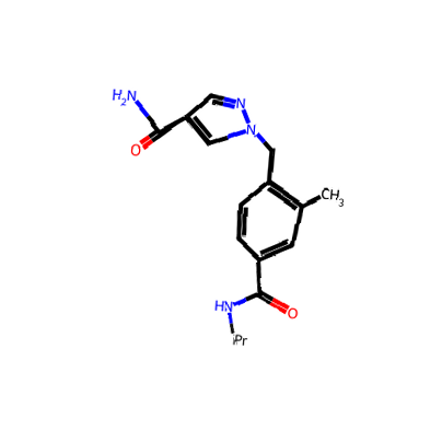 Cc1cc(C(=O)NC(C)C)ccc1Cn1cc(C(N)=O)cn1